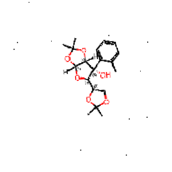 Cc1ccccc1[C@@]1(O)[C@@H]([C@H]2COC(C)(C)O2)O[C@@H]2OC(C)(C)O[C@@H]21